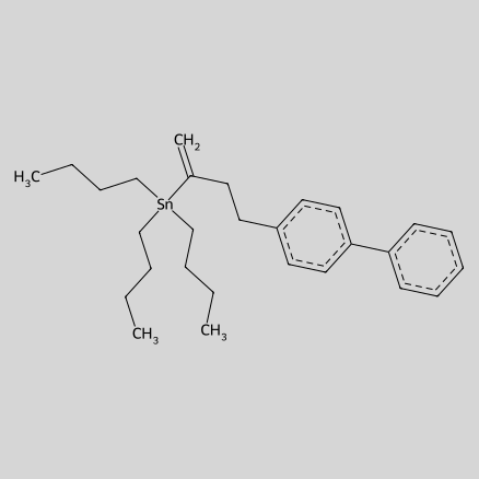 C=[C](CCc1ccc(-c2ccccc2)cc1)[Sn]([CH2]CCC)([CH2]CCC)[CH2]CCC